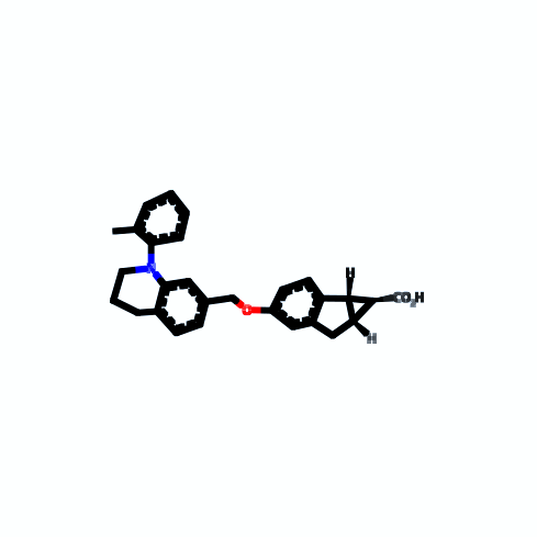 Cc1ccccc1N1CCCc2ccc(COc3ccc4c(c3)C[C@H]3[C@H](C(=O)O)[C@@H]43)cc21